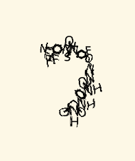 CC1(C)C(=O)N(c2ccc(C#N)c(C(F)(F)F)c2)C(=S)N1c1ccc(OCCN2CCN(CC(=O)Nc3cccc(NC4CCC(=O)NC4=O)c3)CC2)c(F)c1